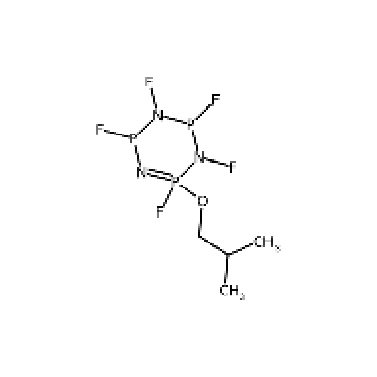 CC(C)COP1(F)=NP(F)N(F)P(F)N1F